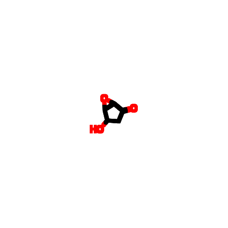 O=C1CC(O)C2OC12